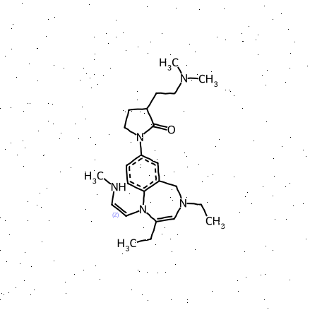 CCC1=CN(CC)Cc2cc(N3CCC(CCN(C)C)C3=O)ccc2N1/C=C\NC